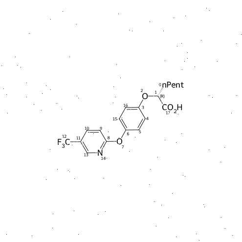 CCCCC[C@@H](Oc1ccc(Oc2ccc(C(F)(F)F)cn2)cc1)C(=O)O